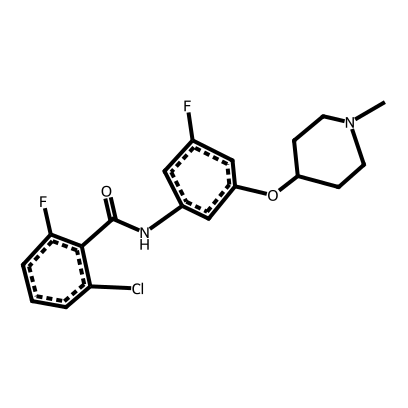 CN1CCC(Oc2cc(F)cc(NC(=O)c3c(F)cccc3Cl)c2)CC1